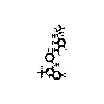 CC(C)S(=O)(=O)Nc1ccc(F)c(C(=O)N[C@@H]2CCC[C@H](Nc3cc(C(F)(F)F)nc4ccc(Cl)cc34)C2)c1F